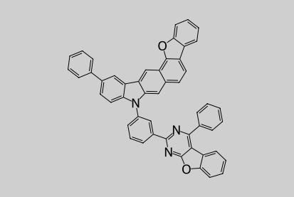 c1ccc(-c2ccc3c(c2)c2cc4c(ccc5c6ccccc6oc45)cc2n3-c2cccc(-c3nc(-c4ccccc4)c4c(n3)oc3ccccc34)c2)cc1